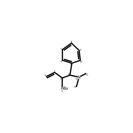 C=CC(CCCC)C(c1ccccc1)N(C)C